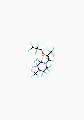 F/C(=C(/OCC(F)(F)C(F)F)C(F)(F)F)N1C(F)(F)C(F)(F)N(C(F)(F)F)C(F)(F)C1(F)F